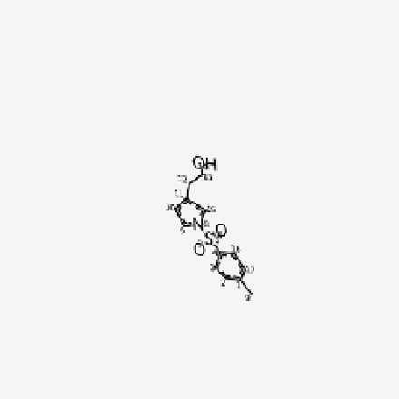 Cc1ccc(S(=O)(=O)n2ccc(CCO)c2)cc1